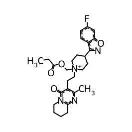 CCC(=O)OC[N+]1(CCc2c(C)nc3n(c2=O)CCCC3)CCC(c2noc3cc(F)ccc23)CC1